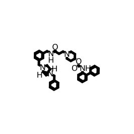 O=C(CCN1CCC(OC(=O)Nc2ccccc2-c2ccccc2)CC1)NCc1cccc(CN2C[C@H]3C[C@@H]2CN3Cc2ccccc2)c1